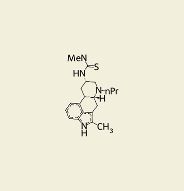 CCCN1C[C@@H](NC(=S)NC)CC2c3cccc4[nH]c(C)c(c34)C[C@H]21